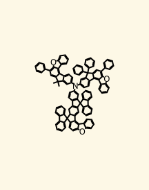 CC1(C)c2cc(N(c3ccc4c(c3)C3(C5=C4CC4C(=C5)c5c(ccc6oc7ccccc7c56)C45c4ccccc4-c4ccccc45)c4ccccc4-c4ccccc43)c3ccc4c(c3)C(c3ccccc3)(c3ccccc3)c3cc(-c5ccccc5)c5oc6ccccc6c5c3-4)ccc2-c2c1cc(-c1ccccc1)c1oc3ccccc3c21